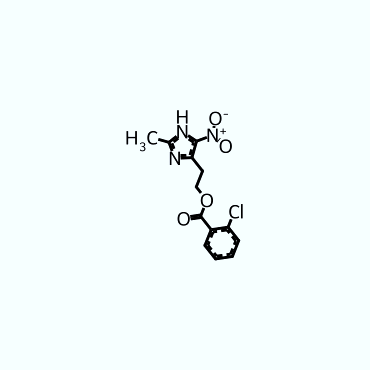 Cc1nc(CCOC(=O)c2ccccc2Cl)c([N+](=O)[O-])[nH]1